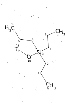 CCC[Si](CCC)(CCC)[O][Ti]